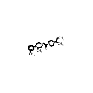 CCC(C)N1CCN(C(=O)CN2CCN(c3cccc(C)c3)C(C)C2)CC1